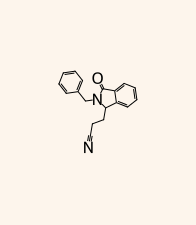 N#CCCC1c2ccccc2C(=O)N1Cc1ccccc1